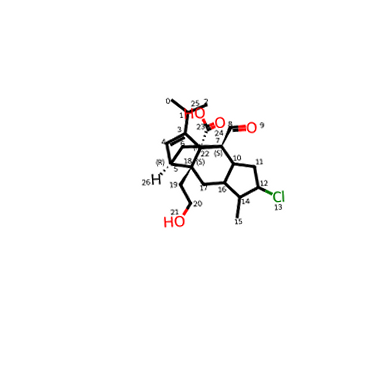 CC(C)C1=C[C@H]2C[C@]3(C=O)C4CC(Cl)C(C)C4C[C@@]2(CCO)[C@@]13C(=O)O